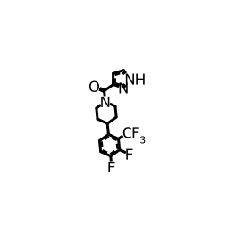 O=C(c1cc[nH]n1)N1CCC(c2ccc(F)c(F)c2C(F)(F)F)CC1